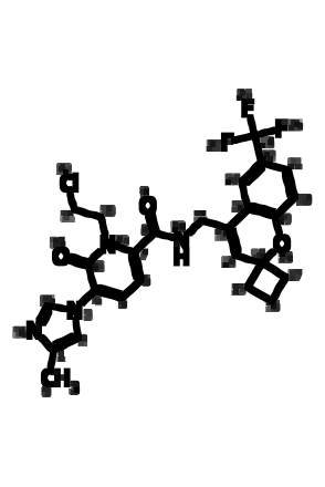 Cc1cn(-c2ccc(C(=O)NCC3=CC4(CCC4)Oc4ccc(C(F)(F)F)cc43)n(CCCl)c2=O)cn1